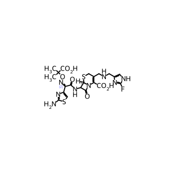 CC(C)(O/N=C(\C(=O)NC1C(=O)N2C(C(=O)O)=C(CNCc3c[nH]c(F)n3)CS[C@@H]12)c1csc(N)n1)C(=O)O